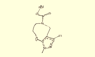 CCCCOC(=O)N1CCOc2c(c(CC)nn2C)C1